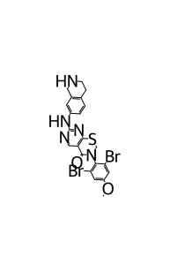 COc1cc(Br)c(N2CSc3nc(Nc4ccc5c(c4)CNCC5)ncc3C2=O)c(Br)c1